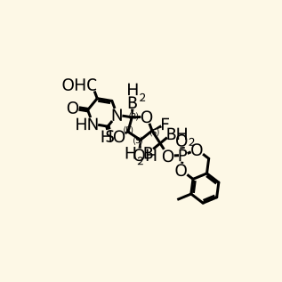 BC(B)(OP1(=O)OCc2cccc(C)c2O1)[C@@]1(F)O[C@@](B)(n2cc(C=O)c(=O)[nH]c2=S)[C@H](O)[C@@H]1O